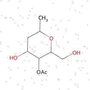 CC(=O)OC1C(O)CC(C)OC1CO